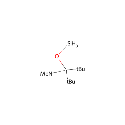 CNC(O[SiH3])(C(C)(C)C)C(C)(C)C